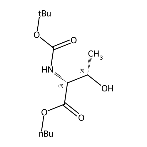 CCCCOC(=O)[C@H](NC(=O)OC(C)(C)C)[C@H](C)O